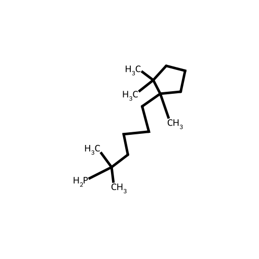 CC(C)(P)CCCCC1(C)CCCC1(C)C